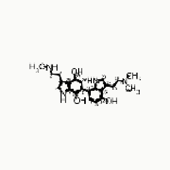 CNCCc1c[nH]c2c(O)c(-c3ccc(O)c4c(CCN(C)C)c[nH]c34)cc(O)c12